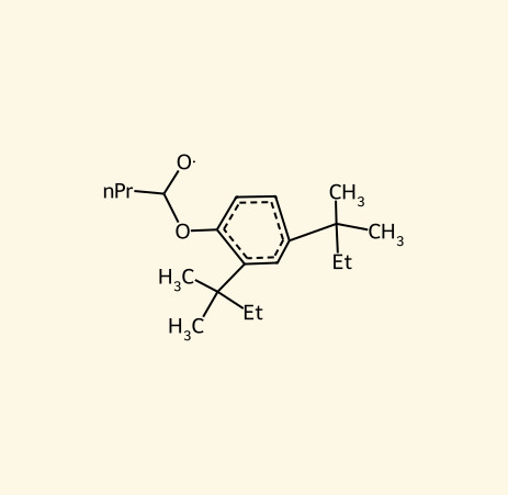 CCCC([O])Oc1ccc(C(C)(C)CC)cc1C(C)(C)CC